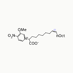 CCCCCCCC/C=C\CCCCCCC(C(=O)[O-])[n+]1ccc([N+](=O)[O-])c(OC)c1